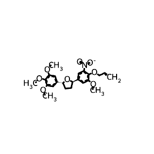 C=CCOc1c(OC)cc([C@H]2CC[C@H](c3cc(OC)c(OC)c(OC)c3)O2)cc1[N+](=O)[O-]